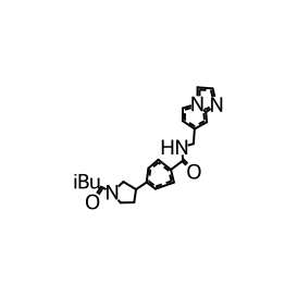 CC[C@H](C)C(=O)N1CCC(c2ccc(C(=O)NCc3ccn4ccnc4c3)cc2)C1